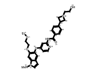 CCOCCOc1cc2c(ccn2NC)cc1Oc1ccnc(NC(=O)c2ccc(C3CN(CCO)C3)cc2)c1